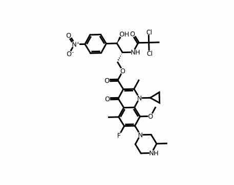 COc1c(N2CCNC(C)C2)c(F)c(C)c2c(=O)c(C(=O)OC[C@@H](NC(=O)C(C)(Cl)Cl)[C@H](O)c3ccc([N+](=O)[O-])cc3)c(C)n(C3CC3)c12